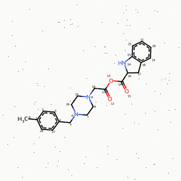 Cc1ccc(CN2CCN(CC(=O)OC(=O)C3Cc4ccccc4N3)CC2)cc1